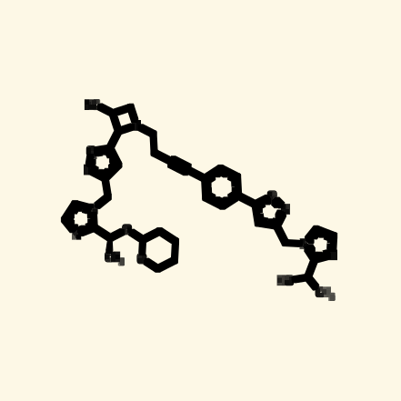 CC(O)c1nccn1Cc1cc(-c2ccc(C#CCCN3CC(C#N)C3c3cc(Cn4ccnc4[C@H](C)OC4CCCCO4)no3)cc2)on1